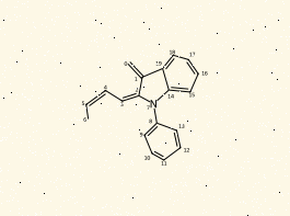 C=c1/c(=C\C=C/C)n(-c2ccccc2)c2ccccc12